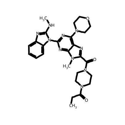 CCC(=O)N1CCN(C(=O)c2nc3c(N4CCOCC4)nc(-n4c(NC)nc5ccccc54)nc3n2C)CC1